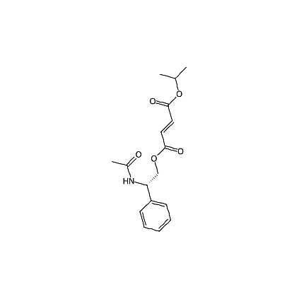 CC(=O)N[C@H](COC(=O)/C=C/C(=O)OC(C)C)c1ccccc1